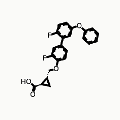 O=C(O)[C@@H]1C[C@H]1COc1ccc(-c2cc(Oc3ccccc3)ccc2F)cc1F